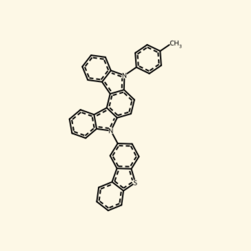 Cc1ccc(-n2c3ccccc3c3c4c5ccccc5n(-c5ccc6sc7ccccc7c6c5)c4ccc32)cc1